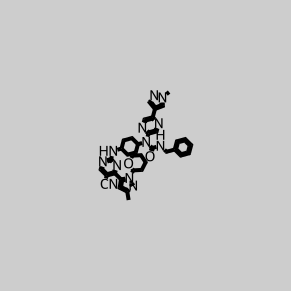 Cc1cc(-c2nc(NC3CCC(N(C(=O)NCc4ccccc4)c4cnc(-c5cnn(C)c5)cn4)CC3)ncc2C#N)n(C2CCCCO2)n1